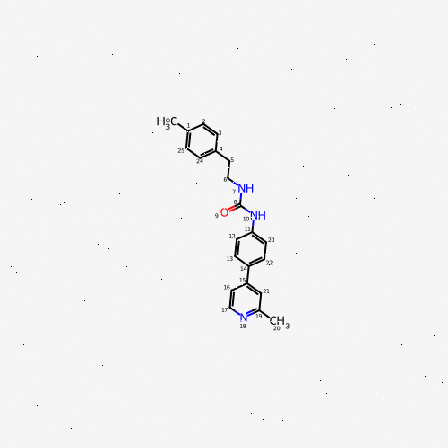 Cc1ccc(CCNC(=O)Nc2ccc(-c3ccnc(C)c3)cc2)cc1